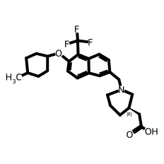 CC1CCC(Oc2ccc3cc(CN4CCC[C@H](CC(=O)O)C4)ccc3c2C(F)(F)F)CC1